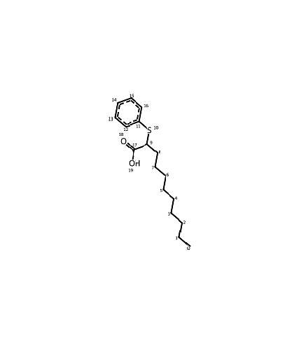 CCCCCCCCCC(Sc1ccccc1)C(=O)O